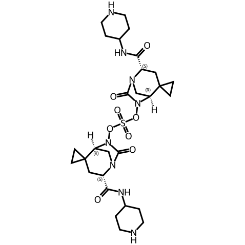 O=C(NC1CCNCC1)[C@@H]1CC2(CC2)[C@@H]2CN1C(=O)N2OS(=O)(=O)ON1C(=O)N2C[C@H]1C1(CC1)C[C@H]2C(=O)NC1CCNCC1